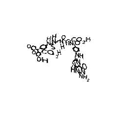 Nc1nc(=O)c2nc(CNc3ccc(C(=O)NC(CCC(=O)NCCNC(=S)Nc4ccc(-c5c6ccc(=O)cc-6oc6cc(O)ccc56)c(C(=O)O)c4)C(=O)O)cc3)cnc2[nH]1